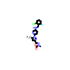 Cn1nc(-c2cc(C(F)(F)F)n(-c3ccc(NCc4c(F)cccc4Cl)cn3)n2)oc1=O